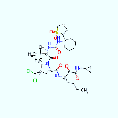 CCCC[C@H](NC(=O)[C@@H]1C[C@@H](C(Cl)Cl)CN1C(=O)[C@@H](NC(=O)NC1(C2CCCS2(=O)=O)CCCCC1)C(C)(C)C)C(=O)C(=O)NC1CC1